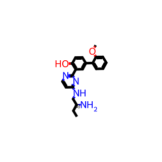 CC[C@H](N)CNc1ccnc(-c2cc(-c3ccccc3OC)ccc2O)n1